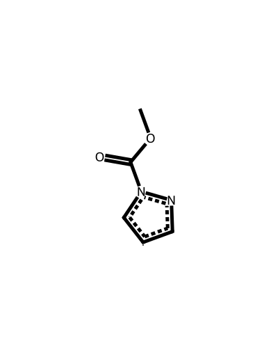 COC(=O)n1c[c]cn1